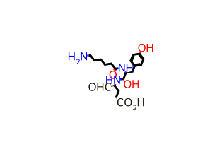 NCCCCCC(=O)N[C@@H](Cc1ccc(O)cc1)C(O)N[C@@H](C=O)CCC(=O)O